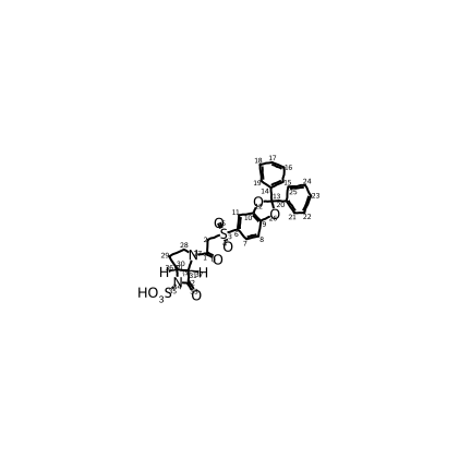 O=C(CS(=O)(=O)c1ccc2c(c1)OC(c1ccccc1)(c1ccccc1)O2)N1CC[C@@H]2[C@H]1C(=O)N2S(=O)(=O)O